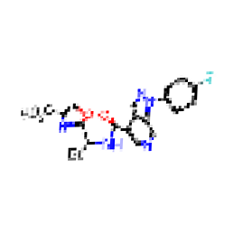 CCC(NC(=O)c1cncc2c1cnn2-c1ccc(F)cc1)c1nc(C(=O)O)co1